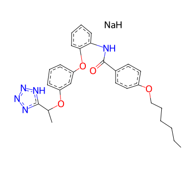 CCCCCCOc1ccc(C(=O)Nc2ccccc2Oc2cccc(OC(C)c3nnn[nH]3)c2)cc1.[NaH]